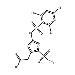 CS(=O)(=O)c1nc(NS(=O)(=O)c2c(Cl)cc(Cl)cc2Cl)sc1CC(=O)O